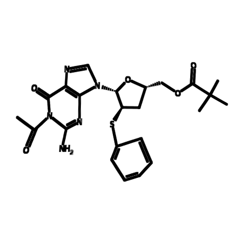 CC(=O)n1c(N)nc2c(ncn2[C@@H]2O[C@H](COC(=O)C(C)(C)C)C[C@H]2Sc2ccccc2)c1=O